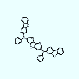 c1ccc(N(c2ccc3c(c2)oc2ccccc23)c2cnc3c(c2)oc2cc(N(c4ccccc4)c4ccc5c(c4)oc4ccccc45)cnc23)cc1